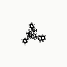 CCN(C(=O)C(CC(=O)N1CCc2ccccc2C1)C(=O)NS(=O)(=O)C=Cc1ccccc1)c1ccccc1